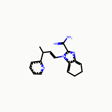 CC(/C=C/n1c(C(=N)N)nc2c1=CCCC=2)c1ccccn1